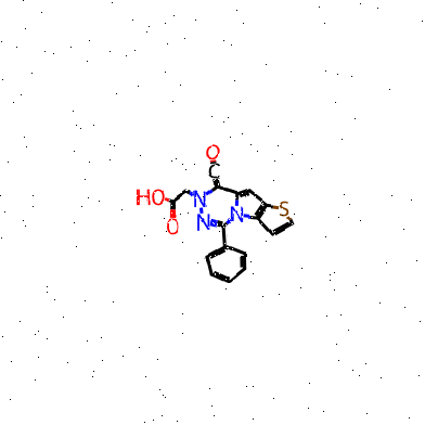 O=C=C1c2cc3sccc3n2C(c2ccccc2)=NN1CC(=O)O